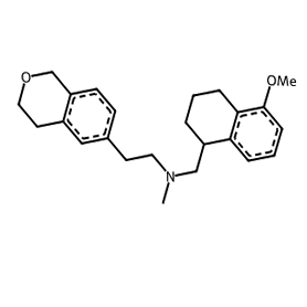 COc1cccc2c1CCCC2CN(C)CCc1ccc2c(c1)CCOC2